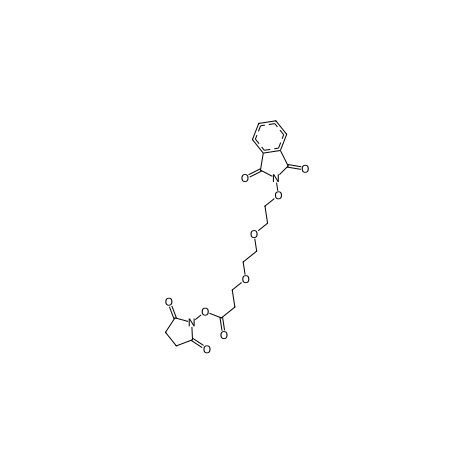 O=C(CCOCCOCCON1C(=O)c2ccccc2C1=O)ON1C(=O)CCC1=O